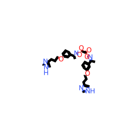 CC(=NOC(=O)C(=O)ON=C(C)c1cccc(OCCCc2c[nH]cn2)c1)c1cccc(OCCCc2c[nH]cn2)c1